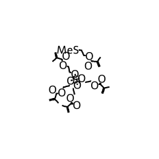 C=C(C)C(=O)OCCO[Si](OCCOC(=O)C(=C)C)(OCCOC(=O)C(=C)C)OCCOC(=O)C(=C)C.C=C(C)C(=O)OCCSC